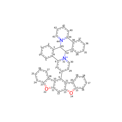 c1ccc2c(c1)-c1cc(-c3c4c(cc5oc6ccccc6c35)oc3ccccc34)cc[n+]1C1c3ccccc3-c3cccc[n+]3C21